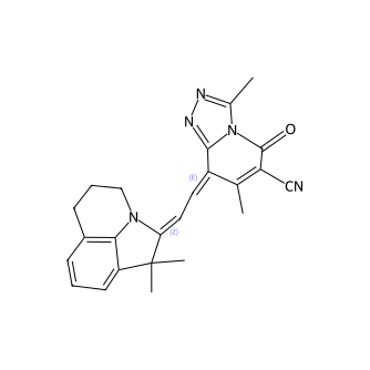 Cc1c(C#N)c(=O)n2c(C)nnc2/c1=C/C=C1\N2CCCc3cccc(c32)C1(C)C